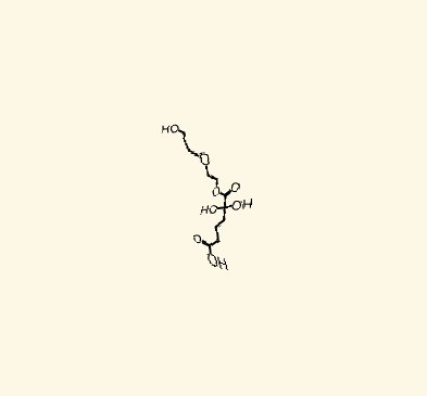 O=C(O)CCCC(O)(O)C(=O)OCCOCCO